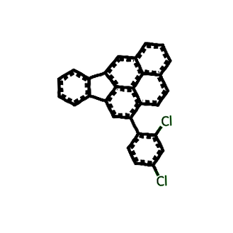 Clc1ccc(-c2cc3c4c(cc5cccc6ccc2c4c65)-c2ccccc2-3)c(Cl)c1